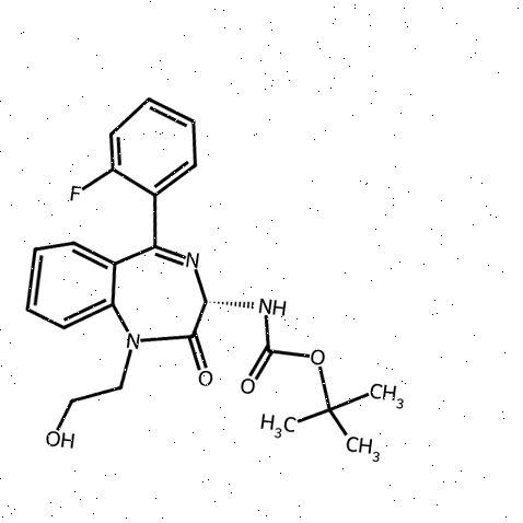 CC(C)(C)OC(=O)N[C@H]1N=C(c2ccccc2F)c2ccccc2N(CCO)C1=O